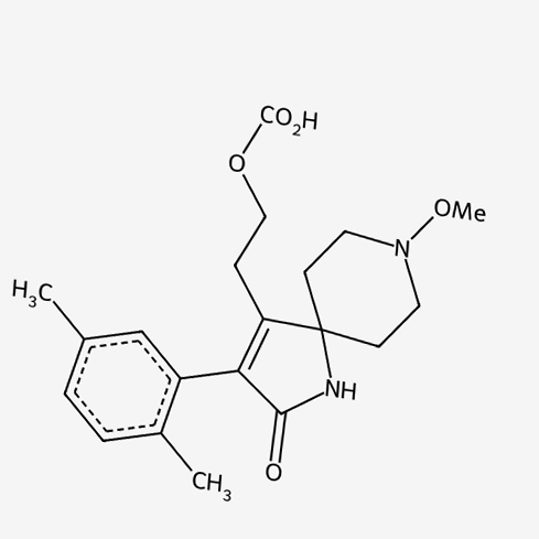 CON1CCC2(CC1)NC(=O)C(c1cc(C)ccc1C)=C2CCOC(=O)O